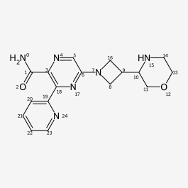 NC(=O)c1ncc(N2CC(C3COCCN3)C2)nc1-c1ccccn1